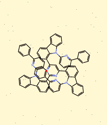 c1ccc(-c2cccc(-n3c4ccccc4c4cccc(-c5cc(-c6cccc7c8ccccc8n(-c8cccc(-c9ccccc9)n8)c67)nc(-c6cccc7c8ccccc8n(-c8cccc(-c9ccccc9)n8)c67)n5)c43)n2)cc1